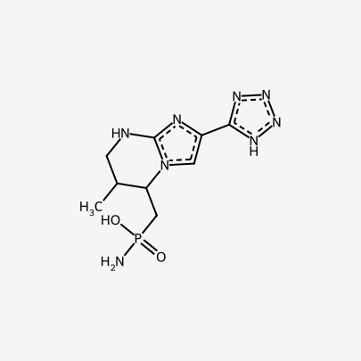 CC1CNc2nc(-c3nnn[nH]3)cn2C1CP(N)(=O)O